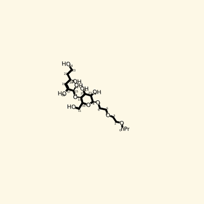 CCCOCCOCCO[C@H]1OC(CO)[C@@H](O[C@H](O)/C(O)=C\[C@@H](O)CCO)C(O)C1O